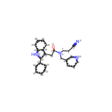 N#CCCN(Cc1cccnc1)C(=O)Cc1c(-c2ccccc2)[nH]c2ccccc12